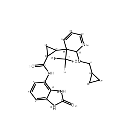 O=C(Nc1cccc2[nH]c(=O)[nH]c12)C1CC1C1(C(F)(F)F)C=CC=NC1OCC1CC1